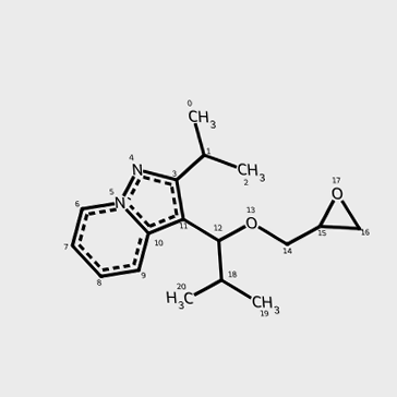 CC(C)c1nn2ccccc2c1C(OCC1CO1)C(C)C